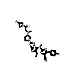 CCc1nc2sc(N3CC[C@@H](N(C)CC(=O)N4CC(F)C4)C3)nn2c1N(C)c1nc(-c2ccc(F)cc2)c(C#N)s1